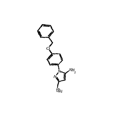 CC(C)(C)c1cc(N)n(-c2ccc(OCc3ccccc3)cc2)n1